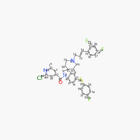 Cc1cc(C(=O)N2CC3(CCN(CC=Cc4ccc(F)cc4F)CC3)c3cc(Sc4ccc(F)cc4)ccc32)cc(Cl)n1